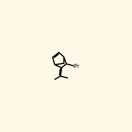 CC(C)=C1C2C=CC(C2)C1C(C)C